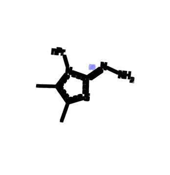 CCCn1c(C)c(C)s/c1=N\N